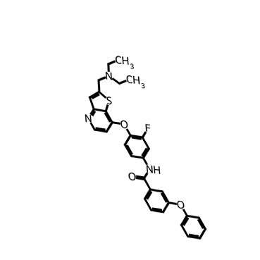 CCN(CC)Cc1cc2nccc(Oc3ccc(NC(=O)c4cccc(Oc5ccccc5)c4)cc3F)c2s1